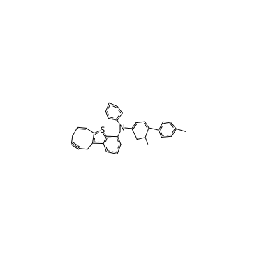 Cc1ccc(C2=CC=C(N(c3ccccc3)c3cccc4c5c(sc34)/C=C\CC#CC5)CC2C)cc1